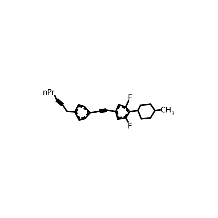 CCCC#CCc1ccc(C#Cc2cc(F)c(C3CCC(C)CC3)c(F)c2)cc1